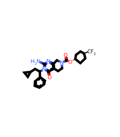 Nc1nc2c(c(=O)n1C(CC1CC1)c1ccccc1)CCN(C(=O)O[C@H]1CC[C@H](C(F)(F)F)CC1)C2